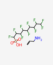 C=CCN.O=S(=O)(O)C(F)C(F)C(F)C(F)C(F)C(F)C(F)C(F)C(F)F